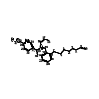 C=CCCCCCCc1ccccc1CN(/C=C\C)C(C)c1ccc(C(F)(F)F)nc1